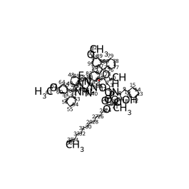 C#C[C@]1(COP(=O)(N[C@@H](Cc2ccccc2)C(=O)O)O[C@@H](C)C(=O)OCCCCCCCCCCCC)O[C@@H](n2cnc3c(NC(c4ccccc4)(c4ccccc4)c4ccc(OC)cc4)nc(F)nc32)C[C@@H]1OC(c1ccccc1)(c1ccccc1)c1ccc(OC)cc1